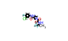 C[C@@H](NC(=O)C(=O)N1CC[C@H](C(=O)Nc2ccc(F)c(Cl)c2)C1)C(F)(F)F